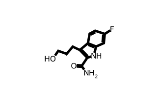 NC(=O)c1[nH]c2cc(F)ccc2c1C[CH]CO